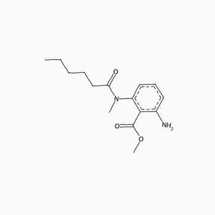 CCCCCC(=O)N(C)c1cccc(N)c1C(=O)OC